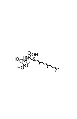 CC(C)=CCC/C(C)=C/CC/C(C)=C/CSCC(NC(=O)N1CC(O)CC1C(=O)O)C(=O)O